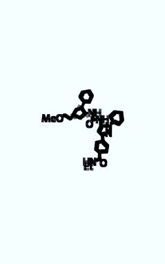 CCNC(=O)c1ccc(-c2cc(NC(=O)N[C@@H]3C[C@@H](CCOC)C[C@H]3c3ccccc3)n(-c3ccccc3)n2)cc1